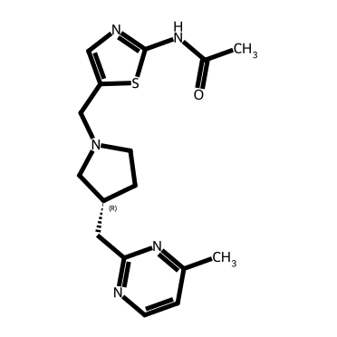 CC(=O)Nc1ncc(CN2CC[C@H](Cc3nccc(C)n3)C2)s1